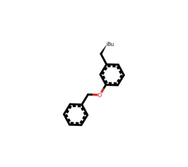 CC[C@H](C)Cc1cccc(OCc2ccccc2)c1